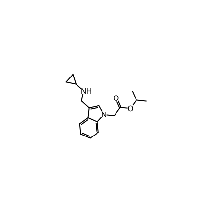 CC(C)OC(=O)Cn1cc(CNC2CC2)c2ccccc21